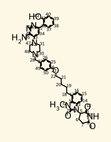 Cn1c(=O)n(C2CCC(=O)NC2=O)c2cccc(CCCCCOc3ccc(CN4CCN(c5cc(-c6ccccc6O)nnc5N)CC4)cc3)c21